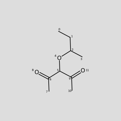 CCC(C)OC(C(C)=O)C(C)=O